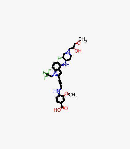 COC[C@H](O)CN1CCC(Nc2cccc3c2cc(C#CCNc2ccc(C(=O)O)cc2OC)n3CC(F)(F)F)[C@@H](F)C1